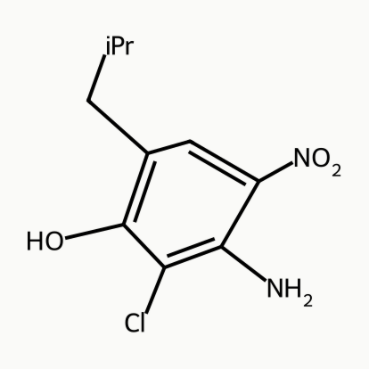 CC(C)Cc1cc([N+](=O)[O-])c(N)c(Cl)c1O